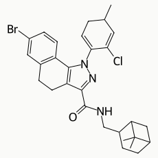 CC1C=C(Cl)C(n2nc(C(=O)NCC3CCC4CC3C4(C)C)c3c2-c2ccc(Br)cc2CC3)=CC1